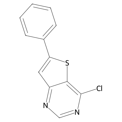 Clc1ncnc2cc(-c3ccccc3)sc12